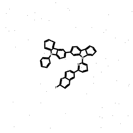 Fc1ccc2cc(-c3cccc(-n4c5ccccc5c5ccc(-c6ccc7c(c6)c6ccccc6n7-c6ccccc6)cc54)n3)ccc2c1